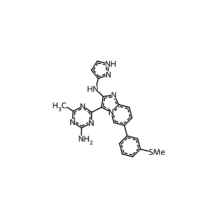 CSc1cccc(-c2ccc3nc(Nc4cc[nH]n4)c(-c4nc(C)nc(N)n4)n3c2)c1